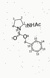 CC(=O)NC1CCCN1C(=O)OCc1ccccc1